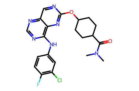 CN(C)C(=O)C1CCC(Oc2ncc3ncnc(Nc4ccc(F)c(Cl)c4)c3n2)CC1